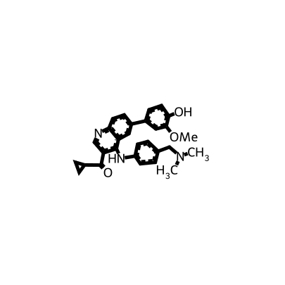 COc1cc(-c2ccc3ncc(C(=O)C4CC4)c(Nc4ccc(CN(C)C)cc4)c3c2)ccc1O